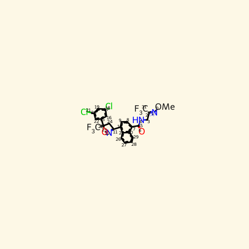 CO/N=C(/CNC(=O)c1ccc(C2=NOC(c3cc(Cl)cc(Cl)c3)(C(F)(F)F)C2)c2ccccc12)C(F)(F)F